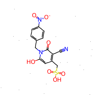 N#Cc1c(CS(=O)(=O)O)cc(O)n(Cc2ccc([N+](=O)[O-])cc2)c1=O